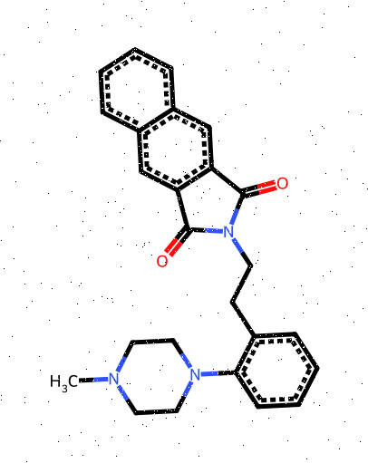 CN1CCN(c2ccccc2CCN2C(=O)c3cc4ccccc4cc3C2=O)CC1